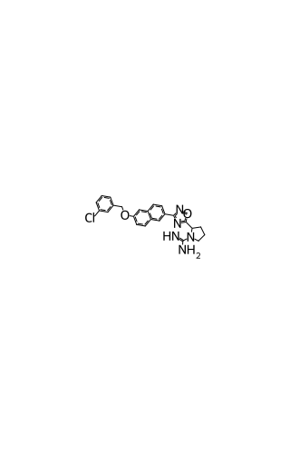 N=C(N)N1CCCC1c1nc(-c2ccc3cc(OCc4cccc(Cl)c4)ccc3c2)no1